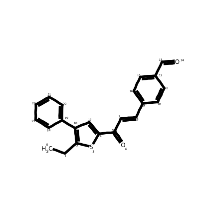 CCc1sc(C(=O)C=Cc2ccc(C=O)cc2)cc1-c1ccccc1